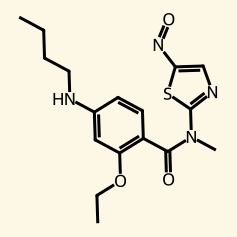 CCCCNc1ccc(C(=O)N(C)c2ncc(N=O)s2)c(OCC)c1